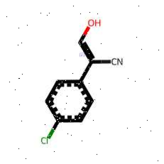 N#C/C(=C\O)c1ccc(Cl)cc1